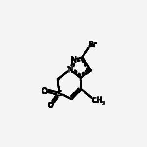 CC1=CS(=O)(=O)Cn2nc(Br)cc21